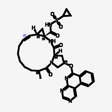 C[C@H]1CCCCC/C=C\[C@@H]2C[C@@]2(C(=O)NS(=O)(=O)C2CC2)NC(=O)[C@@H]2C[C@@H](Oc3nc4ncncc4c4ccccc34)CN2C1=O